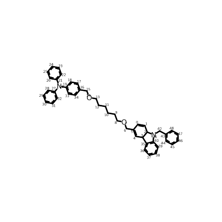 C1=CC2C(C=C1COCCCCCCOCc1ccc(N(c3ccccc3)c3ccccc3)cc1)c1ccccc1N2Cc1ccccc1